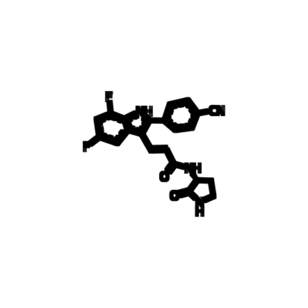 N#Cc1ccc(-c2[nH]c3c(F)cc(F)cc3c2/C=C/C(=O)N[C@H]2CCNC2=O)cc1